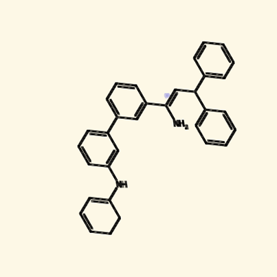 N/C(=C\C(c1ccccc1)c1ccccc1)c1cccc(-c2cccc(NC3=CC=CCC3)c2)c1